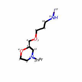 CCCN1CCO[C@@H](COCCCNI)C1